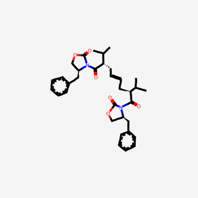 CC(C)[C@H](C/C=C/C[C@H](C(=O)N1C(=O)OC[C@@H]1Cc1ccccc1)C(C)C)C(=O)N1C(=O)OC[C@@H]1Cc1ccccc1